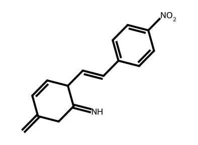 C=C1C=CC(C=Cc2ccc([N+](=O)[O-])cc2)C(=N)C1